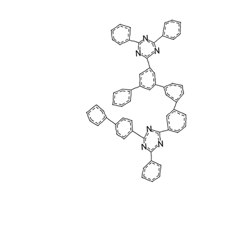 c1ccc(-c2ccc(-c3nc(-c4ccccc4)nc(-c4cccc(-c5cccc(-c6cc(-c7ccccc7)cc(-c7nc(-c8ccccc8)nc(-c8ccccc8)n7)c6)c5)c4)n3)cc2)cc1